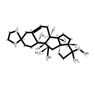 CCCOC1(C)CC[C@]23C[C@](C)(O)[C@H]4[C@@H](CC=C5CC6(CC[C@@]54C)OCCO6)[C@@H]2CC[C@H]13